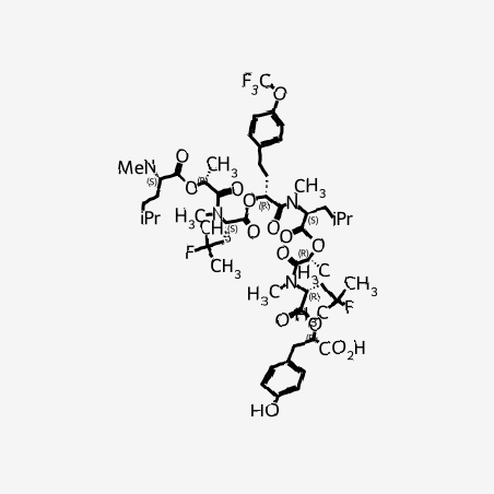 CN[C@@H](CCC(C)C)C(=O)O[C@H](C)C(=O)N(C)[C@@H](CC(C)(C)F)C(=O)O[C@H](CCc1ccc(OC(F)(F)F)cc1)C(=O)N(C)[C@@H](CC(C)C)C(=O)O[C@H](C)C(=O)N(C)[C@H](CC(C)(C)F)C(=O)O[C@H](Cc1ccc(O)cc1)C(=O)O